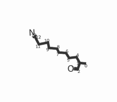 CC(C=O)CCCCCCCCC#N